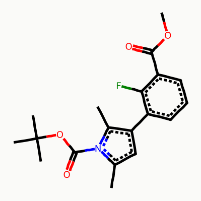 COC(=O)c1cccc(-c2cc(C)n(C(=O)OC(C)(C)C)c2C)c1F